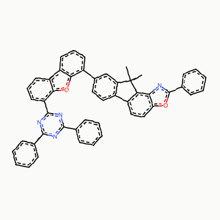 CC1(C)c2cc(-c3cccc4c3oc3c(-c5nc(-c6ccccc6)nc(-c6ccccc6)n5)cccc34)ccc2-c2ccc3oc(-c4ccccc4)nc3c21